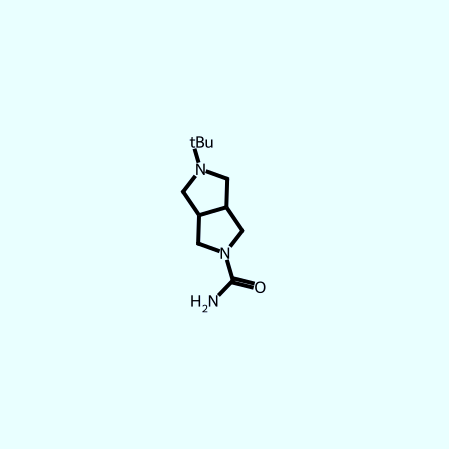 CC(C)(C)N1CC2CN(C(N)=O)CC2C1